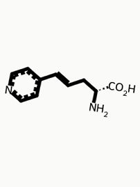 N[C@H](CC=Cc1ccncc1)C(=O)O